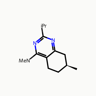 CNc1nc(C(C)C)nc2c1CC[C@H](C)C2